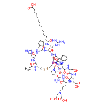 CC(=O)N[C@H]1CCSSC[C@@H](C(=O)N2CCC[C@H]2C(=O)N2CCC[C@H]2C(=O)N[C@@H](CO)C(=O)N[C@@H](CCC(=O)O)C(=O)N[C@@H](CCCCN(CC(=O)O)CC(=O)O)C(=O)N[C@@H](CCCCNC(=O)COCCOCCNC(=O)CCCCCCCCCCCCCCC(=O)O)C(N)=O)NC(=O)[C@H](Cc2c[nH]c3ccccc23)NC(=O)[C@H](CCCNC(=N)N)NC(=O)[C@@H](Cc2ccccc2)NC(=O)[C@H](Cc2c[nH]cn2)NC1=O